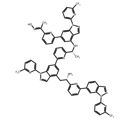 C/C(=N\O)c1cccc(-c2cc(N[C@H](C)c3cccc(-c4cc(C[C@H](N)c5cccc(-c6ccc7cnn(-c8cccc(C(F)(F)F)n8)c7c6)n5)c5cnn(-c6cccc(C(F)(F)F)n6)c5c4)n3)c3cnn(-c4cccc(C(F)(F)F)n4)c3c2)n1